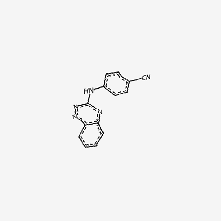 N#Cc1ccc(Nc2nnc3ccccc3n2)cc1